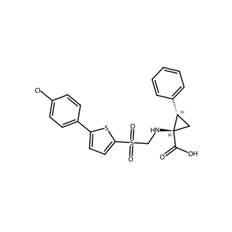 O=C(O)[C@@]1(NCS(=O)(=O)c2ccc(-c3ccc(Cl)cc3)s2)C[C@H]1c1ccccc1